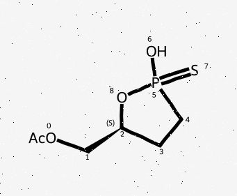 CC(=O)OC[C@@H]1CCP(O)(=S)O1